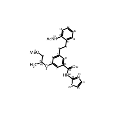 COC[C@H](C)Oc1cc(CCc2ccccc2NC(C)=O)cc(C(=O)Nc2nccs2)c1